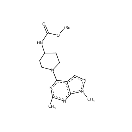 Cc1nc(N2CCC(NC(=O)OC(C)(C)C)CC2)c2cnn(C)c2n1